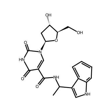 CC(NC(=O)c1cn([C@H]2C[C@H](O)[C@@H](CO)O2)c(=O)[nH]c1=O)c1c[nH]c2ccccc12